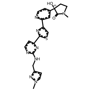 CN1CC[C@@](O)(c2ccnc(-c3csc(-c4ccnc(NCc5ccn(C)n5)n4)n3)c2)C1=O